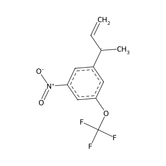 C=C[C](C)c1cc(OC(F)(F)F)cc([N+](=O)[O-])c1